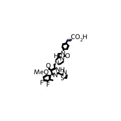 COC(=O)C1=C(CN2CCN3C(=O)N(c4ccc(/C=C/C(=O)O)cc4)C[C@@H]3C2)NC(c2nccs2)=N[C@H]1c1ccc(F)c(F)c1C